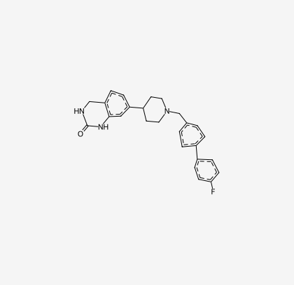 O=C1NCc2ccc(C3CCN(Cc4ccc(-c5ccc(F)cc5)cc4)CC3)cc2N1